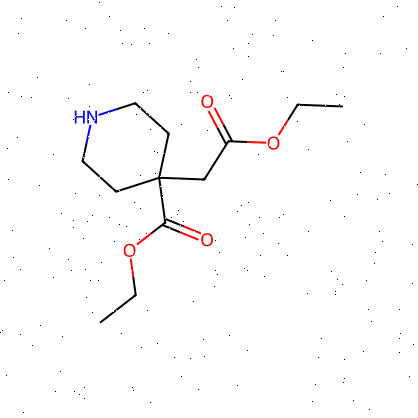 CCOC(=O)CC1(C(=O)OCC)CCNCC1